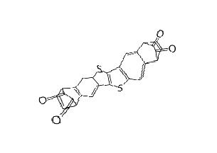 O=C1C(=O)C2C=CC1C1=C2CC2Sc3c(sc4cc5c(cc34)C3C=CC5C(=O)C3=O)C2=C1